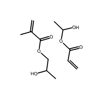 C=C(C)C(=O)OCC(C)O.C=CC(=O)OC(C)O